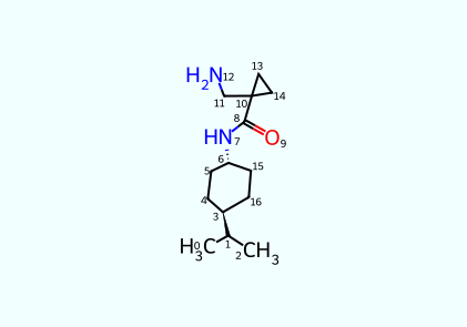 CC(C)[C@H]1CC[C@H](NC(=O)C2(CN)CC2)CC1